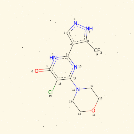 O=c1[nH]c(-c2cn[nH]c2C(F)(F)F)nc(N2CCOCC2)c1Cl